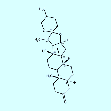 CC1CC[C@@]2(OC1)O[C@H]1C[C@H]3[C@@H]4CC[C@H]5CC(=O)CC[C@]5(C)C4CC[C@]3(C)C1[C@@H]2C